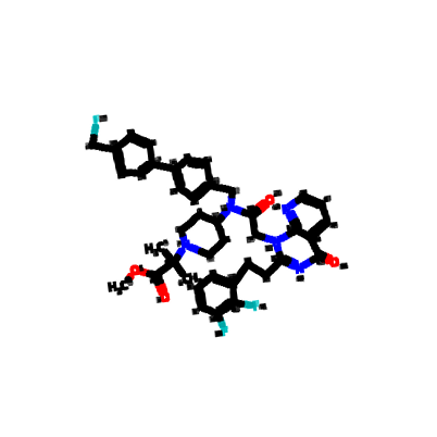 COC(=O)C(C)(C)N1CCC(N(Cc2ccc(-c3ccc(CF)cc3)cc2)C(=O)Cn2c(CCc3cccc(F)c3F)nc(=O)c3cccnc32)CC1